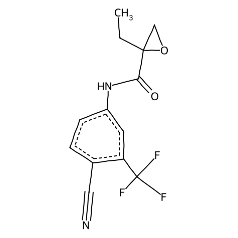 CCC1(C(=O)Nc2ccc(C#N)c(C(F)(F)F)c2)CO1